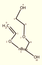 C=COCCCC.OCCOCCO